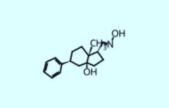 C[C@]12CC[C@H](c3ccccc3)C[C@@]1(O)CC[C@@H]2/C=N/O